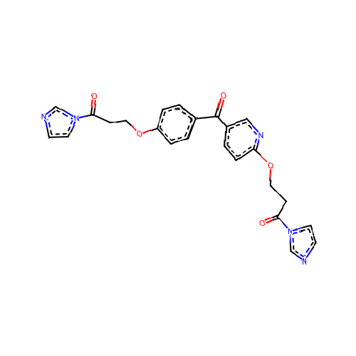 O=C(c1ccc(OCCC(=O)n2ccnc2)cc1)c1ccc(OCCC(=O)n2ccnc2)nc1